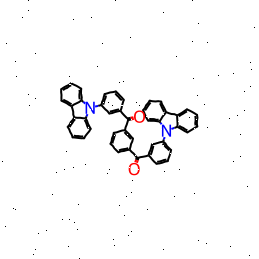 O=C(c1cccc(C(=O)c2cccc(-n3c4ccccc4c4ccccc43)c2)c1)c1cccc(-n2c3ccccc3c3ccccc32)c1